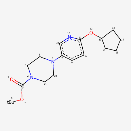 CC(C)(C)OC(=O)N1CCN(c2ccc(OC3CCCC3)nc2)CC1